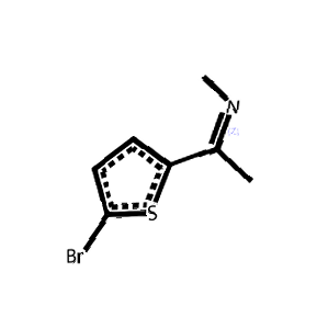 C/N=C(/C)c1ccc(Br)s1